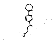 O=C(CCC1CS1)c1ccc2c3c(oc2c1)CCCC3